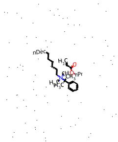 C=CC(=O)OCCC.CCCCCCCCCCCCCCCC[N+](C)(C)C(C)(C)c1ccccc1